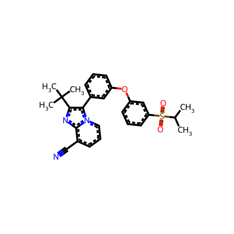 CC(C)S(=O)(=O)c1cccc(Oc2cccc(-c3c(C(C)(C)C)nc4c(C#N)cccn34)c2)c1